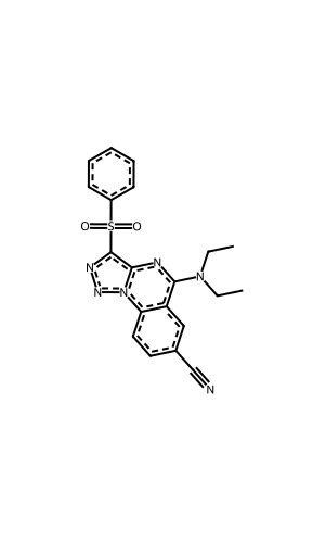 CCN(CC)c1nc2c(S(=O)(=O)c3ccccc3)nnn2c2ccc(C#N)cc12